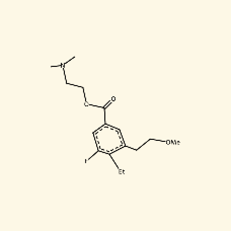 CCc1c(F)cc(C(=O)OCCN(C)C)cc1CCOC